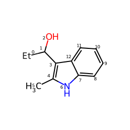 CCC(O)c1c(C)[nH]c2ccccc12